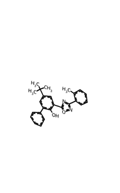 Cc1ccccc1-c1noc(-c2cc(C(C)(C)C)cc(-c3ccccc3)c2O)n1